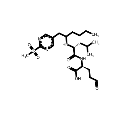 CCCCC(Cc1cnc(S(C)(=O)=O)nc1)N[C@H](CC(C)C)C(=O)N[C@@H](CCC=O)C(=O)O